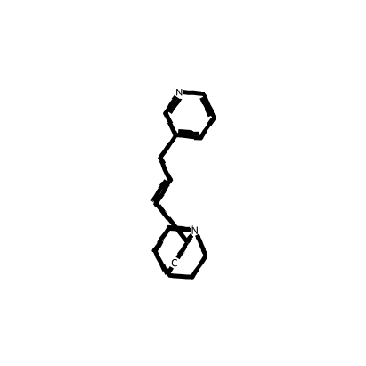 C(=CC1CC2CCN1CC2)Cc1cccnc1